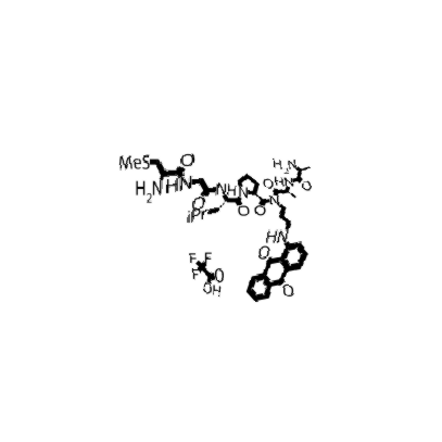 CSC[C@H](N)C(=O)NCC(=O)N[C@@H](CC(C)C)C(=O)N1CCC[C@H]1C(=O)N(CCCNc1cccc2c1C(=O)c1ccccc1C2=O)C(=O)[C@H](C)NC(=O)[C@H](C)N.O=C(O)C(F)(F)F